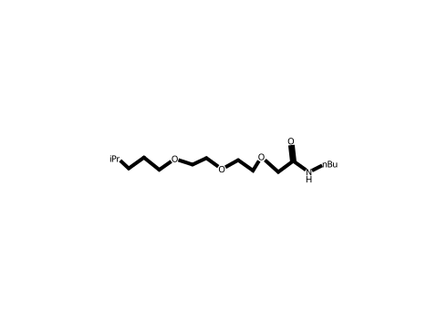 CCCCNC(=O)COCCOCCOCCCC(C)C